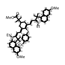 CCN1/C(=C/C=C2\CC(C(C)(C)C(=O)OC)CC(/C=C/C3=[N+](CC)c4ccc5cc(OC)ccc5c4C3(C)C)=C2Sc2ccc(C(=O)[O-])cc2)C(C)(C)c2c1ccc1cc(OC)ccc21